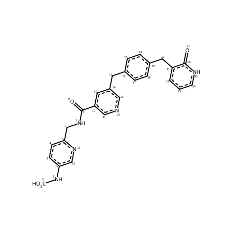 O=C(O)Nc1ccc(CNC(=O)c2cncc(Cc3ccc(Cc4ccc[nH]c4=O)cc3)c2)nc1